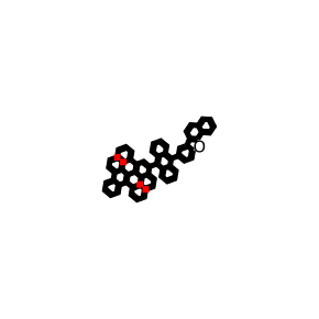 c1ccc(-c2cc(-c3c4ccccc4c(-c4ccc5oc6c7ccccc7ccc6c5c4)c4ccccc34)c3ccccc3c2-c2c(-c3ccccc3)c3ccccc3c3ccccc23)cc1